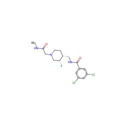 CC(C)(C)NC(=O)CN1CC[C@H](CNC(=O)c2cc(Cl)cc(Cl)c2)[C@H](F)C1